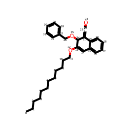 CCCCCCCCCCCCOC1=Cc2ccccc2C(=C=O)C1OCc1ccccc1